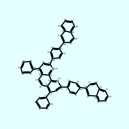 c1ccc(-c2cc(-c3ccc(-c4ccc5ccccc5c4)cc3)nc3c2ccc2c(-c4ccccc4)cc(-c4ccc(-c5ccc6ccccc6c5)cc4)nc23)cc1